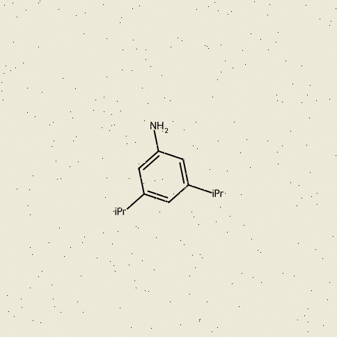 C[C](C)c1cc(N)cc(C(C)C)c1